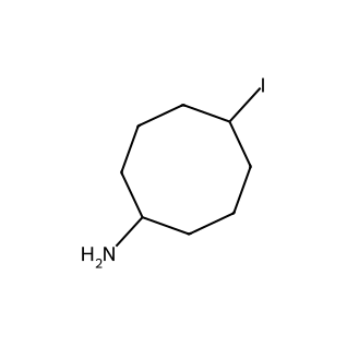 NC1CCCC(I)CCC1